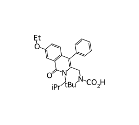 CCOc1ccc2c(-c3ccccc3)c(CN(C(=O)O)C(C)(C)C)n(CC(C)C)c(=O)c2c1